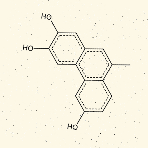 Cc1cc2cc(O)c(O)cc2c2cc(O)ccc12